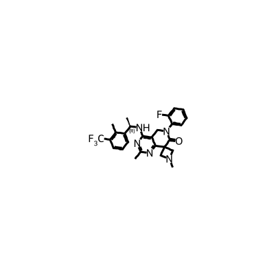 Cc1nc(N[C@H](C)c2cccc(C(F)(F)F)c2C)c2c(n1)C1(CN(C)C1)C(=O)N(c1ccccc1F)C2